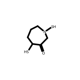 O=C1CN(S)CCCC1S